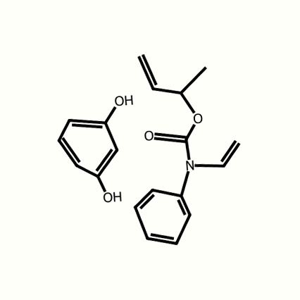 C=CC(C)OC(=O)N(C=C)c1ccccc1.Oc1cccc(O)c1